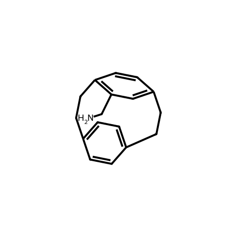 NCc1cc2ccc1CCc1ccc(cc1)CC2